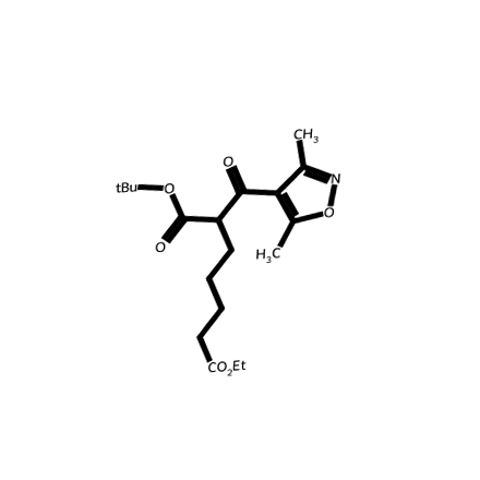 CCOC(=O)CCCCC(C(=O)OC(C)(C)C)C(=O)c1c(C)noc1C